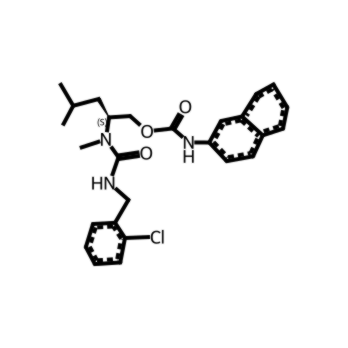 CC(C)C[C@@H](COC(=O)Nc1ccc2ccccc2c1)N(C)C(=O)NCc1ccccc1Cl